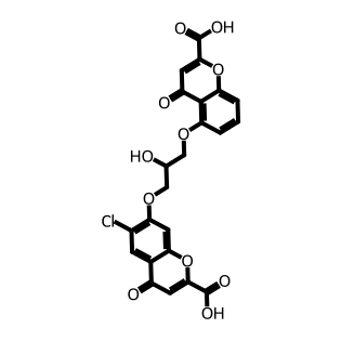 O=C(O)c1cc(=O)c2cc(Cl)c(OCC(O)COc3cccc4oc(C(=O)O)cc(=O)c34)cc2o1